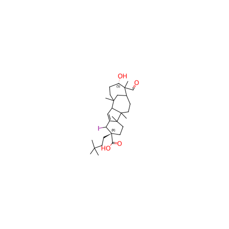 CC(C)(C)CC[C@]1(C(=O)O)CCC2(C)C(=CC3C4(C)CC[C@H](O)C(C)(C=O)C(CCC32C)C4)C1I